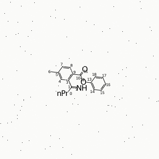 CCCC(=N)c1cc(C)ccc1C(=O)Oc1ccccc1